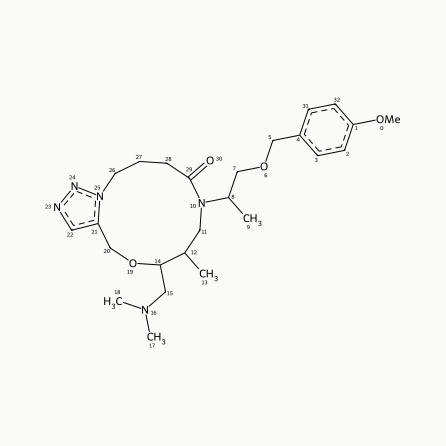 COc1ccc(COCC(C)N2CC(C)C(CN(C)C)OCc3cnnn3CCCC2=O)cc1